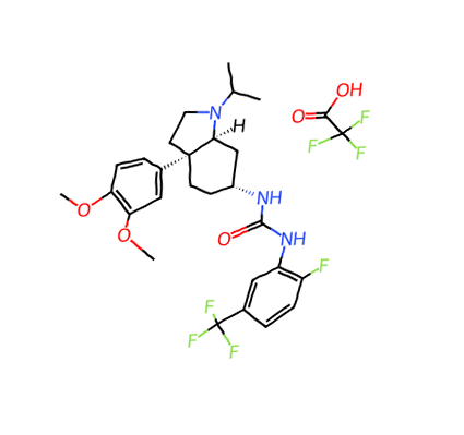 COc1ccc([C@@]23CC[C@@H](NC(=O)Nc4cc(C(F)(F)F)ccc4F)C[C@@H]2N(C(C)C)CC3)cc1OC.O=C(O)C(F)(F)F